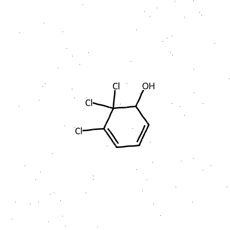 OC1C=CC=C(Cl)C1(Cl)Cl